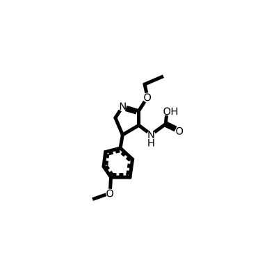 CCOC1=NCC(c2ccc(OC)cc2)C1NC(=O)O